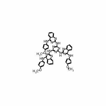 COc1ccc(Nc2nc(Nc3nc(Nc4nc(Nc5ccc(OC)cc5)c5ccccc5n4)nc(Nc4nc(Nc5ccc(OC)cc5)c5ccccc5n4)n3)nc3ccccc23)cc1